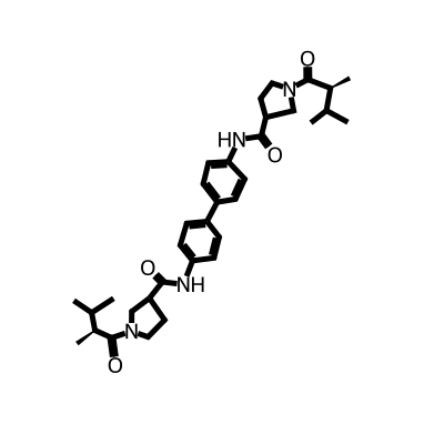 CC(C)[C@H](C)C(=O)N1CCC(C(=O)Nc2ccc(-c3ccc(NC(=O)C4CCN(C(=O)[C@@H](C)C(C)C)C4)cc3)cc2)C1